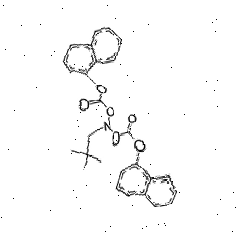 CC(C)(C)CN(OC(=O)Oc1cccc2ccccc12)OC(=O)Oc1cccc2ccccc12